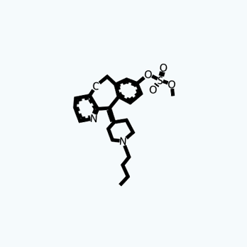 CCCCN1CCC(=C2c3ccc(OS(=O)(=O)OC)cc3CCc3cccnc32)CC1